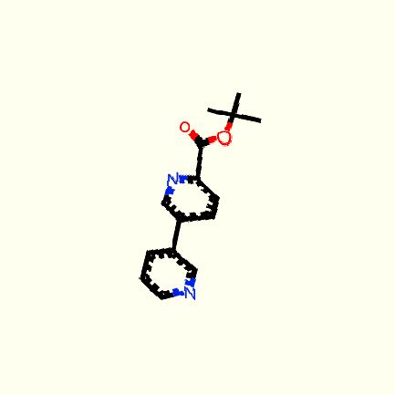 CC(C)(C)OC(=O)c1ccc(-c2cccnc2)cn1